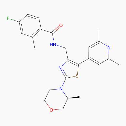 Cc1cc(-c2sc(N3CCOC[C@@H]3C)nc2CNC(=O)c2ccc(F)cc2C)cc(C)n1